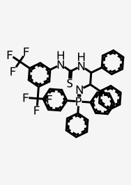 FC(F)(F)c1cc(NC(=S)NC(c2ccccc2)C(N=P(c2ccccc2)(c2ccccc2)c2ccccc2)c2ccccc2)cc(C(F)(F)F)c1